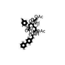 COC(=O)[C@@]1(Sc2ccc(C)cc2)C[C@H](OC(C)=O)[C@@H](NC(=O)COC(C)=O)[C@H]([C@H](C)[C@@H](CNC(=O)Cc2ccc(-c3ccccc3)cc2)OC(C)=O)O1